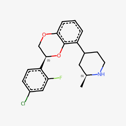 C[C@H]1CC(c2cccc3c2O[C@@H](c2ccc(Cl)cc2F)CO3)CCN1